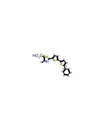 Cc1nc(-c2ccc(-c3ccc(-c4ccccc4)s3)s2)sc1C(=O)O